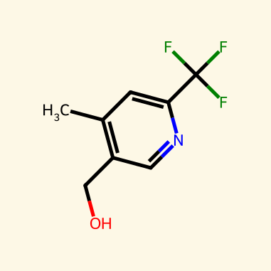 Cc1cc(C(F)(F)F)ncc1CO